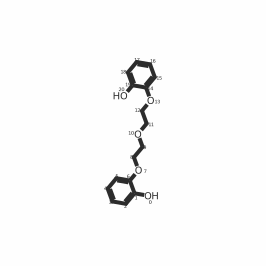 Oc1ccccc1OCCOCCOc1ccccc1O